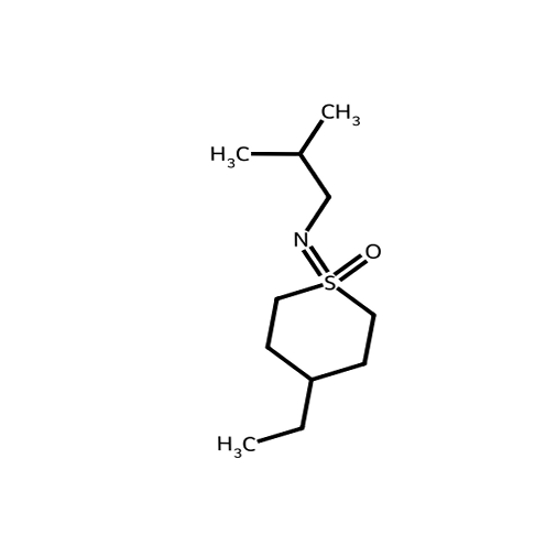 CCC1CCS(=O)(=NCC(C)C)CC1